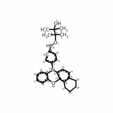 CC(C)(O)C(C)(C)OBc1ccc(N2c3ccccc3Oc3c2ccc2c3CCCC2)cc1